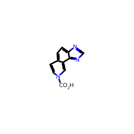 O=C(O)n1ccc2ccc3ncnc3c2c1